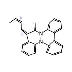 C=C1/C(=C\C=C/C)c2ccccc2N2c3ccccc3-c3ccccc3N12